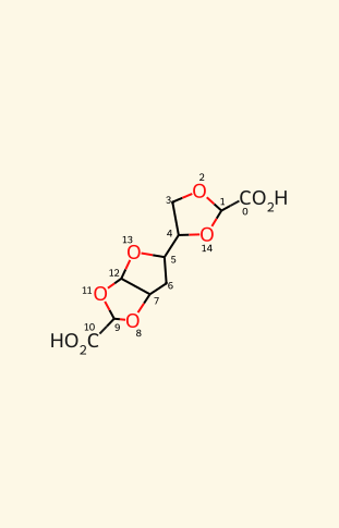 O=C(O)C1OCC(C2CC3OC(C(=O)O)OC3O2)O1